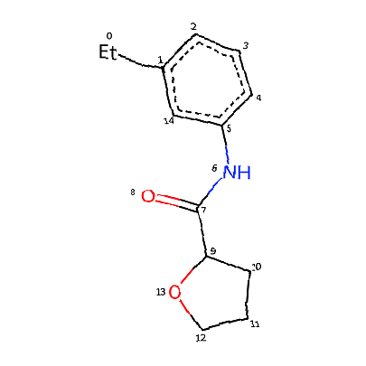 CCc1cccc(NC(=O)C2CCCO2)c1